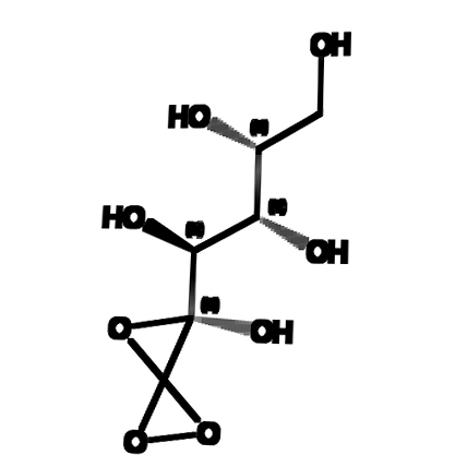 OC[C@@H](O)[C@H](O)[C@H](O)[C@]1(O)OC12OO2